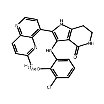 COc1c(Cl)cccc1Nc1c(-c2ccnc3ccc(C)nc23)[nH]c2c1C(=O)NCC2